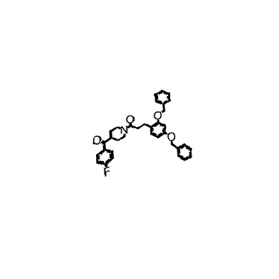 O=C(c1ccc(F)cc1)C1CCN(C(=O)CCc2ccc(OCc3ccccc3)cc2OCc2ccccc2)CC1